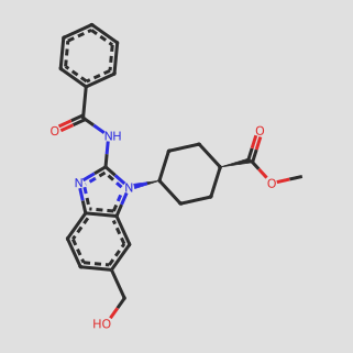 COC(=O)[C@H]1CC[C@@H](n2c(NC(=O)c3ccccc3)nc3ccc(CO)cc32)CC1